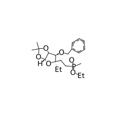 CCOP(C)(=O)CC[C@@]1(CC)O[C@@H]2OC(C)(C)OC2[C@H]1OCc1ccccc1